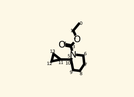 CCOC(=O)N1CCCCC1C1CC1